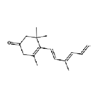 [CH]=CC=C(C)C=CC1=C(C)CC(=O)CC1(C)C